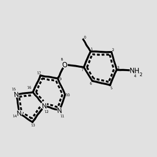 Cc1cc(N)ccc1Oc1cnn2cnnc2c1